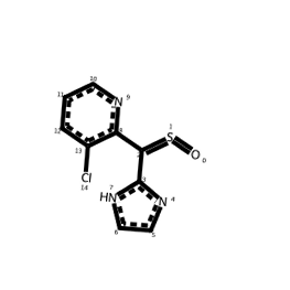 O=S=C(c1ncc[nH]1)c1ncccc1Cl